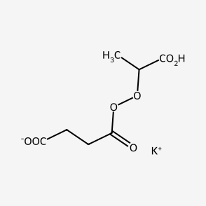 CC(OOC(=O)CCC(=O)[O-])C(=O)O.[K+]